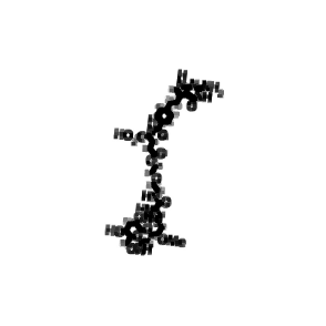 COC(CSC[C@@H](NC(C)(C)C)C(=O)NCCOCCOC(=O)CC[C@H](NC(=O)c1ccc(CCc2c[nH]c3nc(N)[nH]c(=O)c23)cc1)C(=O)O)[C@H](CCO)O[C@@H]1OC(CO)[C@@H](O)C[C@@H]1O